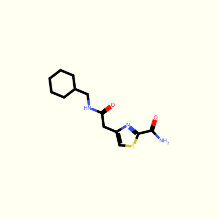 NC(=O)c1nc(CC(=O)NCC2CCCCC2)cs1